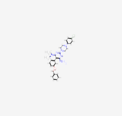 CN(C)c1nc(N2CCN(c3ccc(Cl)cc3)CC2)nc(N)c1-c1cccc(OCc2ccccc2)c1